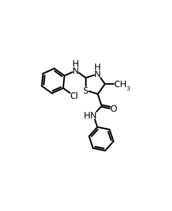 CC1NC(Nc2ccccc2Cl)SC1C(=O)Nc1ccccc1